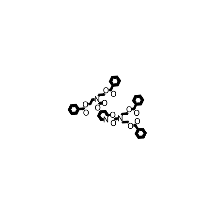 O=C(OCCN(CCOC(=O)c1ccccc1)C(=O)Oc1ccnc(OC(=O)N(CCOC(=O)c2ccccc2)CCOC(=O)c2ccccc2)c1)c1ccccc1